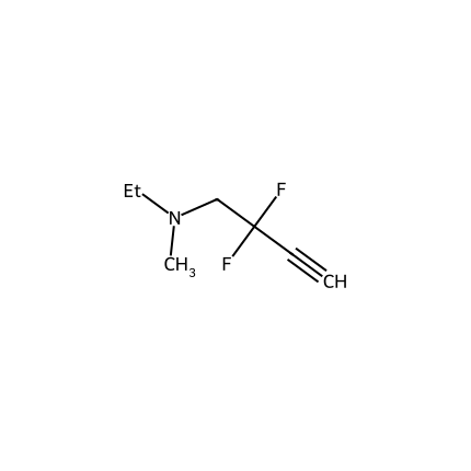 C#CC(F)(F)CN(C)CC